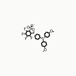 COc1ccc([S+](c2ccccc2)c2ccc(OC)cc2)cc1.O=S(=O)([O-])c1c(F)c(F)c(F)c(F)c1F